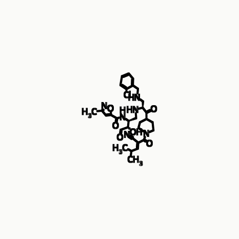 Cc1cc(C(=O)N[C@@H](CN[C@@H](CNCc2ccccc2Cl)C(=O)C2CCN(C(=O)C(C#N)=CC(C)C)CC2)[C@@H](O)C=O)on1